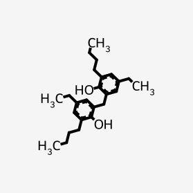 CCCCc1cc(CC)cc(Cc2cc(CC)cc(CCCC)c2O)c1O